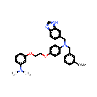 COc1cccc(CN(Cc2ccc3nc[nH]c3c2)c2ccc(OCCOc3cccc(N(C)C)c3)cc2)c1